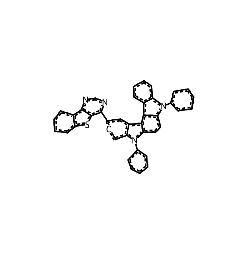 c1ccc(-n2c3ccccc3c3c4c5cc(-c6ncnc7c6sc6ccccc67)ccc5n(-c5ccccc5)c4ccc32)cc1